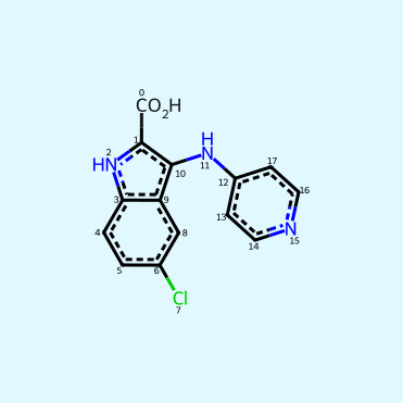 O=C(O)c1[nH]c2ccc(Cl)cc2c1Nc1ccncc1